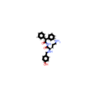 NCCC[C@@H](NCc1ccc(O)cc1)C(=O)NC(=O)C(c1ccccc1)c1ccccc1